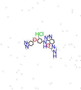 Cc1cc(Nc2ncnc3ccc4c(c23)OCC2CNCCN42)ccc1Oc1ccc2c(c1)ncn2C.Cl